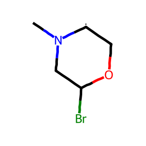 CN1[CH]COC(Br)C1